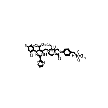 COC[C@@H]1[C@H]2CN(c3ccc(CNS(C)(=O)=O)cc3)C(=O)N2CCN1CC1=C(C(=O)OC)C(c2ccc(F)cc2Cl)N=C(c2nccs2)N1